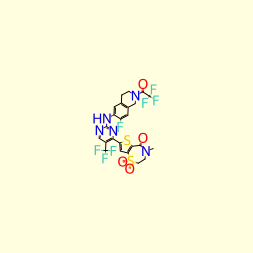 CN1CCS(=O)(=O)c2cc(-c3nc(Nc4cc5c(cc4F)CN(C(=O)C(F)(F)F)CC5)ncc3C(F)(F)F)sc2C1=O